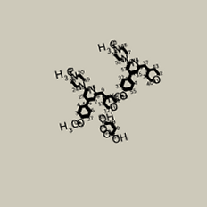 COc1ccc(-c2cc(CC3CCOCC3)nc(N3CCN(C)CC3)c2)cc1.COc1ccc(-c2cc(CC3CCOCC3)nc(N3CCN(C)CC3)c2)cc1.O=C(O)/C=C\C(=O)O